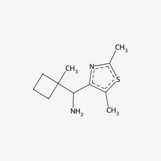 Cc1nc(C(N)C2(C)CCC2)c(C)s1